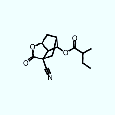 CCC(C)C(=O)OC1C2CC3OC(=O)C(C#N)(C2)C31